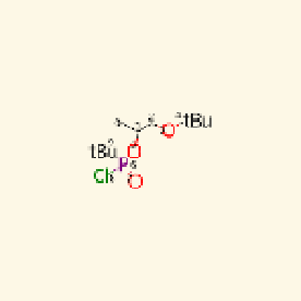 CC(COC(C)(C)C)OP(=O)(Cl)C(C)(C)C